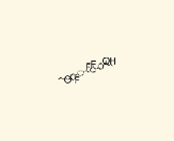 C=CCCOc1ccc(C2CCC(CCc3ccc(C4=CCC(C(O)CCC)CC4)c(F)c3F)CC2)c(F)c1